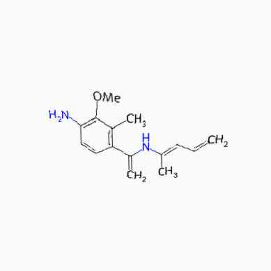 C=C/C=C(\C)NC(=C)c1ccc(N)c(OC)c1C